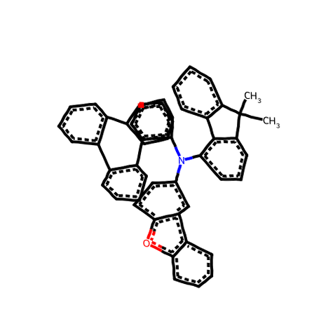 CC1(C)c2ccccc2-c2c(N(c3ccc4oc5ccccc5c4c3)c3ccccc3-c3ccccc3-c3ccccc3-c3ccccc3)cccc21